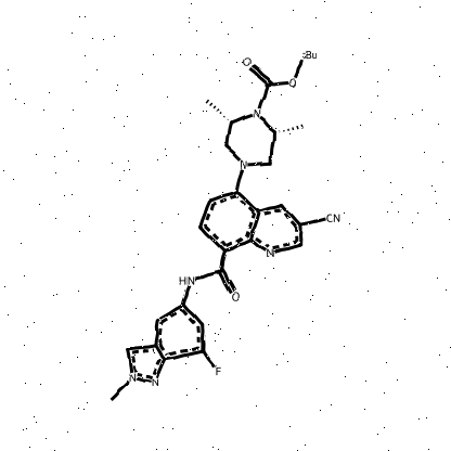 C[C@@H]1CN(c2ccc(C(=O)Nc3cc(F)c4nn(C)cc4c3)c3ncc(C#N)cc23)C[C@H](C)N1C(=O)OC(C)(C)C